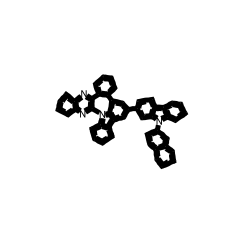 c1ccc2c(c1)-c1nc3ccccc3nc1-n1c3ccccc3c3cc(-c4ccc5c6ccccc6n(-c6ccc7ccccc7c6)c5c4)cc-2c31